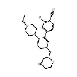 CCN1CCN(C2=CCC(CC3CNCCO3)C=C2c2ccc(C#N)c(F)c2)CC1